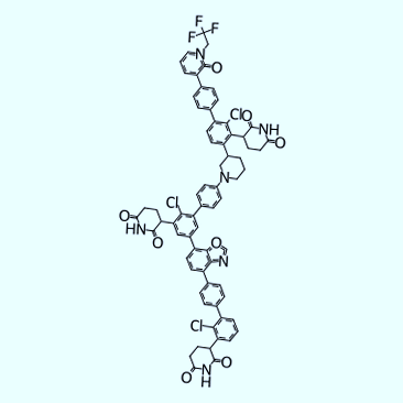 O=C1CCC(c2cccc(-c3ccc(-c4ccc(-c5cc(-c6ccc(N7CCCC(c8ccc(-c9ccc(-c%10cccn(CC(F)(F)F)c%10=O)cc9)c(Cl)c8C8CCC(=O)NC8=O)C7)cc6)c(Cl)c(C6CCC(=O)NC6=O)c5)c5ocnc45)cc3)c2Cl)C(=O)N1